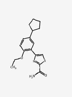 CCOc1ccc(C2CCCC2)cc1-c1csc(C(N)=O)n1